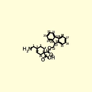 NCC1CCC(C(=O)O)(C(=O)OCC2c3ccccc3-c3ccccc32)CC1